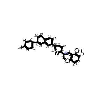 C=C/C(=C\c1ccccc1C)c1ccc(-c2ccc3ccc(-c4ccc(I)cc4)cc3c2)cn1